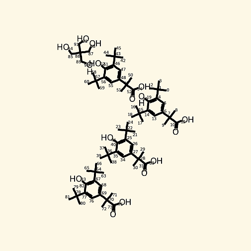 CC(C)(C)c1cc(C(C)(C)C(=O)O)cc(C(C)(C)C)c1O.CC(C)(C)c1cc(C(C)(C)C(=O)O)cc(C(C)(C)C)c1O.CC(C)(C)c1cc(C(C)(C)C(=O)O)cc(C(C)(C)C)c1O.CC(C)(C)c1cc(C(C)(C)C(=O)O)cc(C(C)(C)C)c1O.OCC(CO)(CO)CO